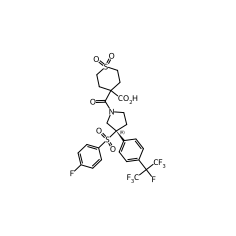 O=C(O)C1(C(=O)N2CC[C@](c3ccc(C(F)(C(F)(F)F)C(F)(F)F)cc3)(S(=O)(=O)c3ccc(F)cc3)C2)CCS(=O)(=O)CC1